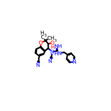 CC1(C)Oc2ccc(C#N)cc2C(N(C#N)C(=N)NCc2ccncc2)C1O